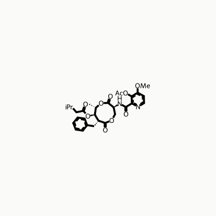 COc1ccnc(C(=O)N[C@H]2COC(=O)[C@H](Cc3ccccc3)[C@@H](OC(=O)CC(C)C)[C@H](C)OC2=O)c1OC(C)=O